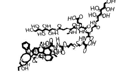 CC[C@]1(O)C[C@H]2CN(CCc3c([nH]c4ccccc34)[C@@](C(=O)OC)(c3cc4c(cc3OC)N(C)[C@H]3[C@@](O)(C(=O)NNC(=O)OCCSSC[C@H](NC(=O)[C@H](CCC(=O)NC[C@H](O)[C@@H](O)[C@H](O)[C@H](O)CO)NC(=O)[C@H](CCC(=O)O)NC(=O)[C@H](CCC(=O)NC[C@H](O)[C@@H](O)[C@H](O)[C@H](O)CO)NC)C(=O)O)[C@H](O)[C@]5(CC)C=CCN6CC[C@]43[C@@H]65)C2)C1